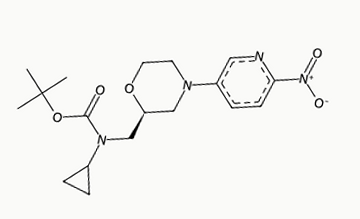 CC(C)(C)OC(=O)N(C[C@@H]1CN(c2ccc([N+](=O)[O-])nc2)CCO1)C1CC1